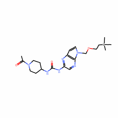 CC(=O)N1CCC(NC(=O)Nc2cnc3c(ccn3COCC[Si](C)(C)C)n2)CC1